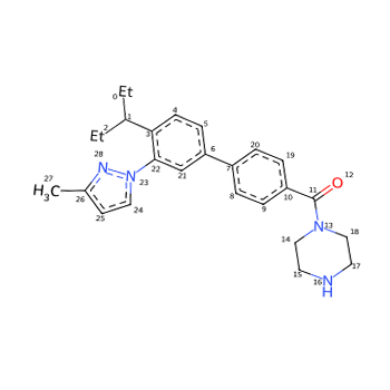 CCC(CC)c1ccc(-c2ccc(C(=O)N3CCNCC3)cc2)cc1-n1ccc(C)n1